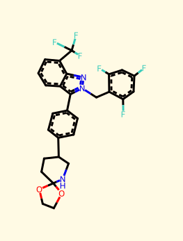 Fc1cc(F)c(Cn2nc3c(C(F)(F)F)cccc3c2-c2ccc(C3CCC4(NC3)OCCO4)cc2)c(F)c1